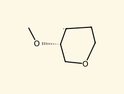 CO[C@@H]1[CH]CCOC1